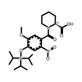 COc1cc(C(=O)N2CCCC[C@H]2C(=O)O)c([N+](=O)[O-])cc1O[Si](C(C)C)(C(C)C)C(C)C